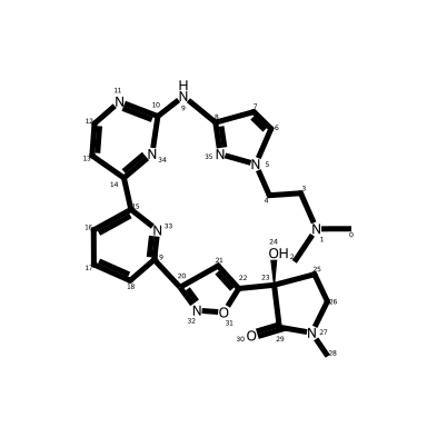 CN(C)CCn1ccc(Nc2nccc(-c3cccc(-c4cc([C@]5(O)CCN(C)C5=O)on4)n3)n2)n1